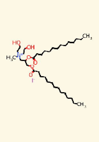 CCCCCCCCCCCCCC(=O)OCC(C[N+](C)(CCO)CCO)OC(=O)CCCCCCCCCCCCC.[I-]